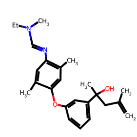 C=C(C)CC(C)(O)c1cccc(Oc2cc(C)c(N=CN(C)CC)cc2C)c1